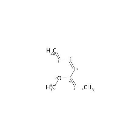 C=C/C=C\C(=C/C)OC